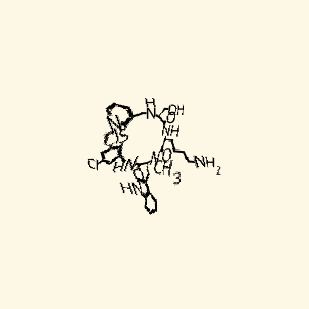 CN1C(=O)[C@H](CCCCN)NC(=O)[C@H](CO)NCc2cccnc2Sc2c(Cl)cc(Cl)cc2CNC(=O)[C@@H]1Cc1c[nH]c2ccccc12